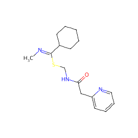 C/N=C(\SCNC(=O)Cc1ccccn1)C1CCCCC1